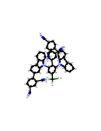 N#Cc1cccc(-c2c(-n3c4ccccc4c4ccc(-c5ccc(C#N)cc5C#N)cc43)cc(C(F)(F)F)cc2-n2c3ccccc3c3ccc(-c4ccc(C#N)cc4C#N)cc32)c1